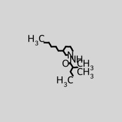 CCCCCCC1CCCN(NC(=O)C(CCC)C(C)C)C1